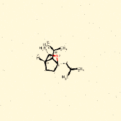 B[C@@H]1O[C@@]2(CC(C)C)CC[C@H]1C2C(C)C